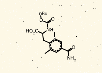 CCCCOC(=O)NC(Cc1c(C)cc(C(N)=O)cc1C)C(=O)O